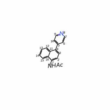 CC(=O)Nc1ccc(-c2ccncc2)c2ccccc12